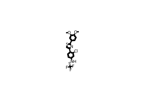 COc1ccc(-c2nc(-c3ccc(NSC(F)(F)F)cc3Cl)cs2)cc1OC